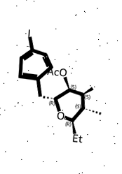 CC[C@H]1O[C@H](Cc2ccc(I)cc2)[C@@H](OC(C)=O)[C@@H](C)[C@@H]1C